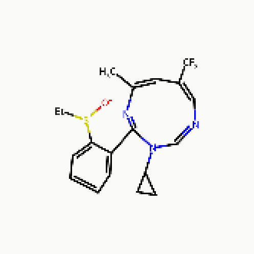 CC[S+]([O-])c1ccccc1-c1nc(C)cc(C(F)(F)F)cncn1C1CC1